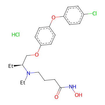 CC[C@@H](COc1ccc(Oc2ccc(Cl)cc2)cc1)N(CC)CCCC(=O)NO.Cl